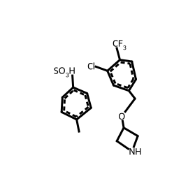 Cc1ccc(S(=O)(=O)O)cc1.FC(F)(F)c1ccc(COC2CNC2)cc1Cl